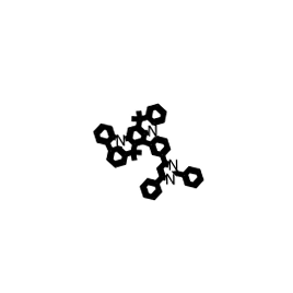 CC1(C)c2c(cc3c4c2c2cc(-c5cc(-c6ccccc6)nc(-c6ccccc6)n5)ccc2n4-c2ccccc2C3(C)C)-n2c3ccccc3c3cccc1c32